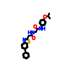 CC(C)Oc1ccc(NC(=O)CNC(=O)Cc2nc3ccc(-c4ccccc4)cc3s2)cc1